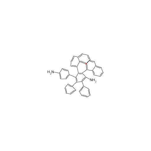 Nc1ccc(-c2c(-c3ccccc3)c(-c3ccccc3)c(N)c(-c3cccc4ccccc34)c2-c2cccc3ccccc23)cc1